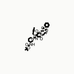 CC#CCn1c(N2CCC[C@@H](NC(=O)OC(C)(C)C)C2)nc2c(=O)n(CCF)n(CCS(=O)(=O)c3ccccc3)c(=O)c21